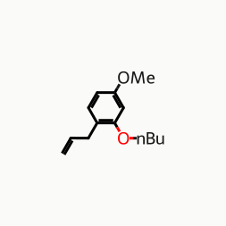 C=CCc1ccc(OC)cc1OCCCC